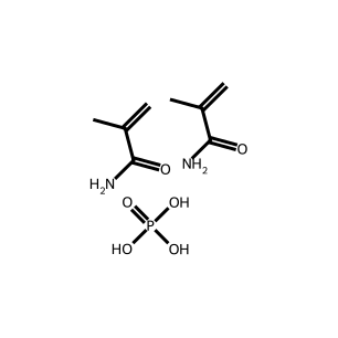 C=C(C)C(N)=O.C=C(C)C(N)=O.O=P(O)(O)O